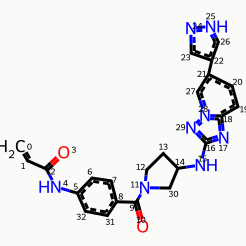 C=CC(=O)Nc1ccc(C(=O)N2CCC(Nc3nc4ccc(-c5cn[nH]c5)cn4n3)C2)cc1